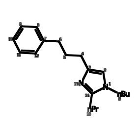 CCCCn1cc(CCCc2ccccc2)nc1CCC